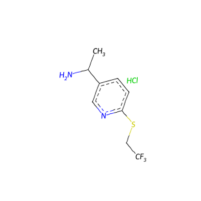 CC(N)c1ccc(SCC(F)(F)F)nc1.Cl